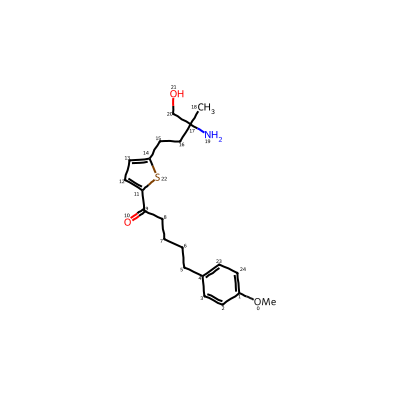 COc1ccc(CCCCC(=O)c2ccc(CCC(C)(N)CO)s2)cc1